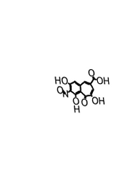 O=Nc1c(O)cc2cc(C(=O)O)cc(O)c(=O)c2c1O